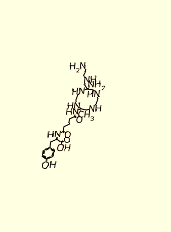 C[C@@]1(NC(=O)CCCC(=O)NC(Cc2ccc(O)cc2)C(=O)O)CNCCNC[C@@](N)(CNCCN)NCCN1